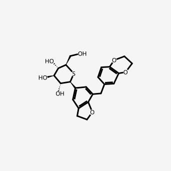 OC[C@H]1S[C@@H](c2cc3c(c(Cc4ccc5c(c4)OCCO5)c2)OCC3)[C@H](O)[C@@H](O)[C@@H]1O